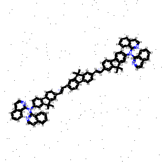 CC1(C)c2cc(/C=C/c3ccc4c(c3)C(C)(C)c3cc(N(c5nccc6ccccc56)c5nccc6ccccc56)ccc3-4)ccc2-c2ccc(/C=C/c3ccc4c(c3)C(C)(C)c3cc(N(c5nccc6ccccc56)c5nccc6ccccc56)ccc3-4)cc21